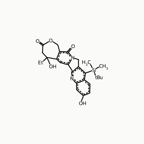 CCC1(O)CC(=O)OCc2c1cc1n(c2=O)Cc2c-1nc1cc(O)ccc1c2[Si](C)(C)C(C)(C)C